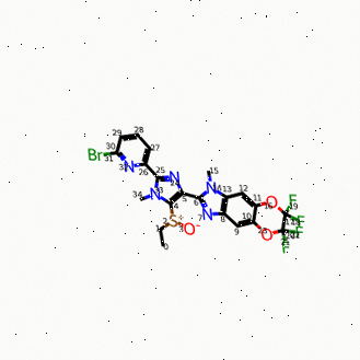 CC[S+]([O-])c1c(-c2nc3cc4c(cc3n2C)OC(F)(F)C(F)(F)O4)nc(-c2cccc(Br)n2)n1C